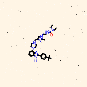 CCN(CC)C(=O)NCCn1cc(CN2CCN(c3cccc4[nH]c(-c5ccc(C(C)(C)C)cc5)nc34)CC2)nc1C